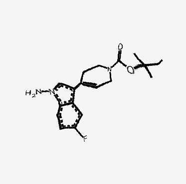 CC(C)(C)OC(=O)N1CC=C(c2cn(N)c3ccc(F)cc23)CC1